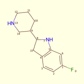 Fc1ccc2c(c1)NC(C1CCCNC1)C2